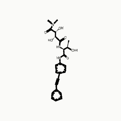 C[C@@H](O)[C@H](NC(=O)[C@H](O)[C@@H](O)C(=O)N(C)C)C(=O)Nc1ccc(C#Cc2ccccc2)cc1